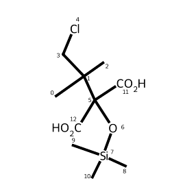 CC(C)(CCl)C(O[Si](C)(C)C)(C(=O)O)C(=O)O